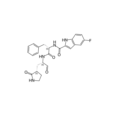 O=C[C@H](C[C@@H]1CCNC1=O)NC(=O)[C@H](Cc1ccccc1)NC(=O)c1cc2cc(F)ccc2[nH]1